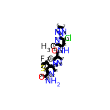 Cc1nc(-n2nccn2)c(Cl)cc1NC(=O)c1cnn(-c2cnc(C(N)=O)c3sccc23)c1C(F)(F)F